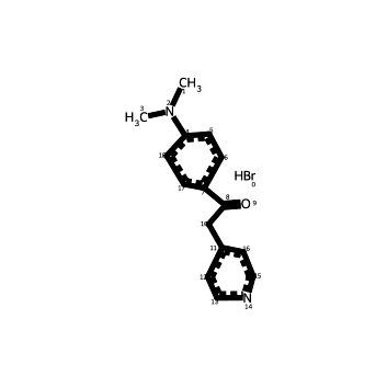 Br.CN(C)c1ccc(C(=O)Cc2ccncc2)cc1